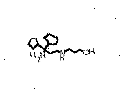 NC(CCNCCCO)(C1CCCC1)C1CCCC1